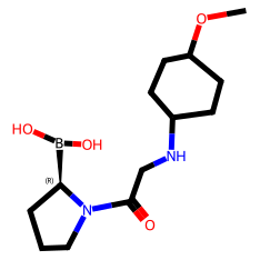 COC1CCC(NCC(=O)N2CCC[C@H]2B(O)O)CC1